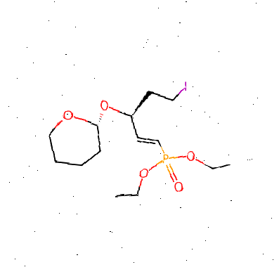 CCOP(=O)(/C=C/[C@H](CCI)O[C@@H]1CCCCO1)OCC